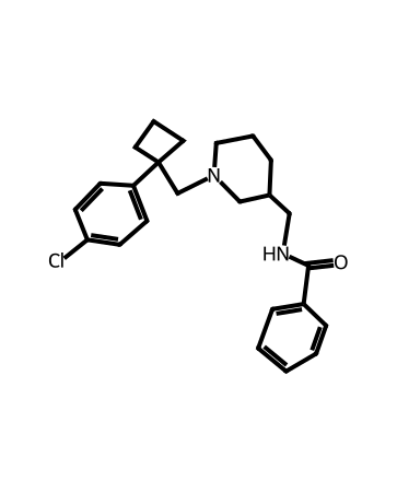 O=C(NCC1CCCN(CC2(c3ccc(Cl)cc3)CCC2)C1)c1ccccc1